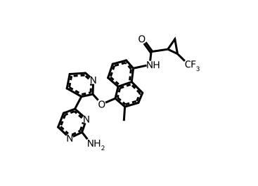 Cc1ccc2c(NC(=O)C3CC3C(F)(F)F)cccc2c1Oc1ncccc1-c1ccnc(N)n1